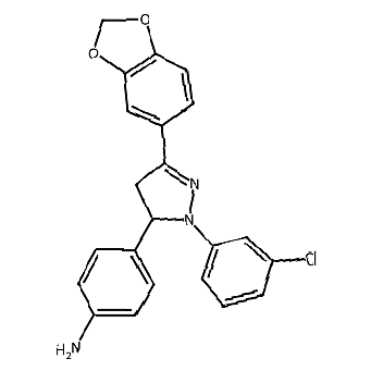 Nc1ccc(C2CC(c3ccc4c(c3)OCO4)=NN2c2cccc(Cl)c2)cc1